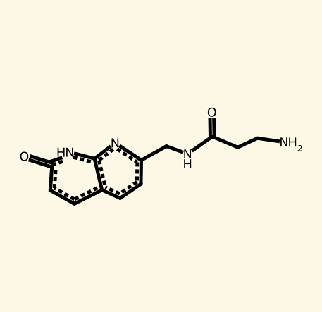 NCCC(=O)NCc1ccc2ccc(=O)[nH]c2n1